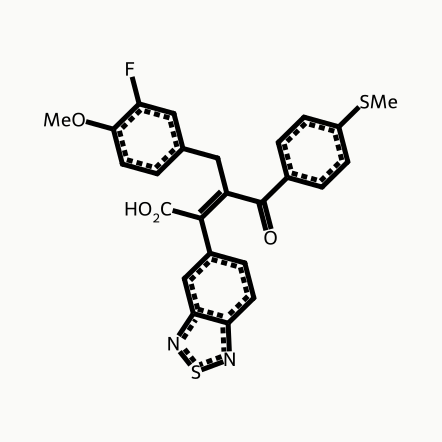 COc1ccc(C/C(C(=O)c2ccc(SC)cc2)=C(\C(=O)O)c2ccc3nsnc3c2)cc1F